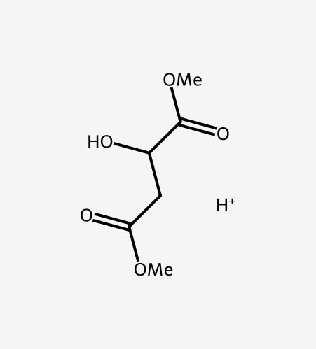 COC(=O)CC(O)C(=O)OC.[H+]